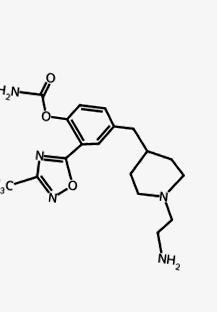 Cc1noc(-c2cc(CC3CCN(CCN)CC3)ccc2OC(N)=O)n1